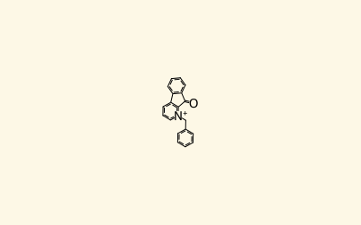 O=C1c2ccccc2-c2ccc[n+](Cc3ccccc3)c21